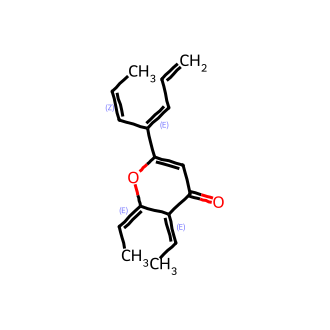 C=C/C=C(\C=C/C)c1cc(=O)c(=C/C)/c(=C\C)o1